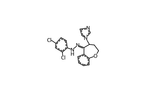 Clc1ccc(NN=C2c3ccccc3OCCC2n2ccnc2)c(Cl)c1